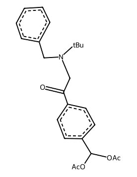 CC(=O)OC(OC(C)=O)c1ccc(C(=O)CN(Cc2ccccc2)C(C)(C)C)cc1